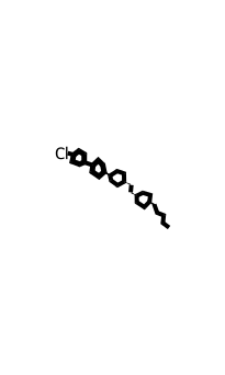 CCCCC[C@H]1CC[C@H](CC[C@H]2CC[C@H](c3ccc(-c4ccc(Cl)cc4)cc3)CC2)CC1